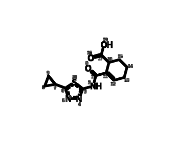 O=C(Nc1nnc(C2CC2)s1)C1=CCCCC1C(=O)O